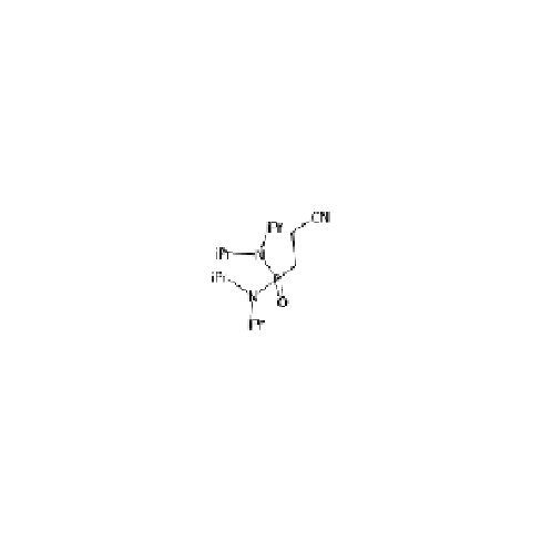 CC(C)N(C(C)C)P(=O)(CCC#N)N(C(C)C)C(C)C